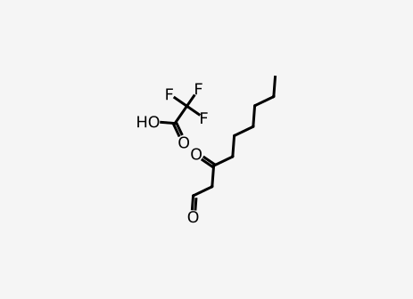 CCCCCCC(=O)CC=O.O=C(O)C(F)(F)F